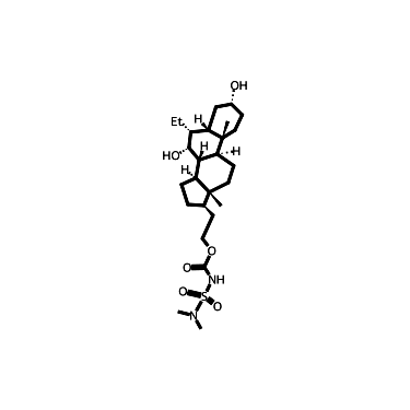 CC[C@H]1[C@@H](O)[C@@H]2[C@H](CC[C@]3(C)[C@@H](CCOC(=O)NS(=O)(=O)N(C)C)CC[C@@H]23)[C@@]2(C)CC[C@@H](O)C[C@@H]12